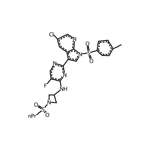 CCCS(=O)(=O)N1CC(Nc2nc(-c3cn(S(=O)(=O)c4ccc(C)cc4)c4ncc(Cl)cc34)ncc2F)C1